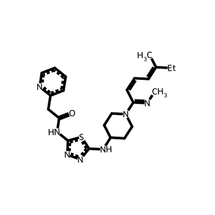 CC/C(C)=C/C=C\C(=N/C)N1CCC(Nc2nnc(NC(=O)Cc3ccccn3)s2)CC1